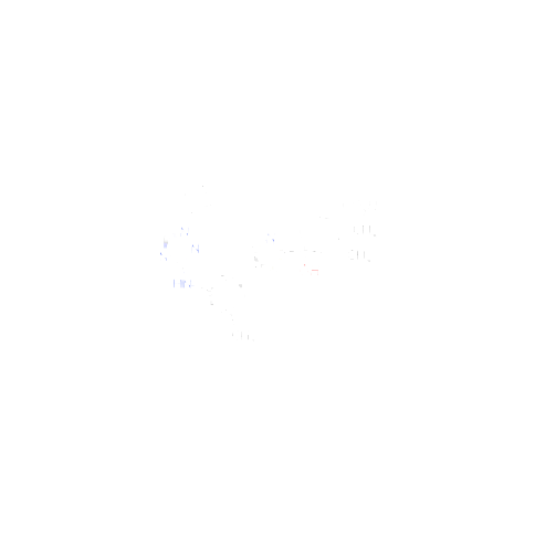 Cc1cc(Nc2ncn(C3CCC3)n2)cc(-c2cnc([C@@]3(O)CC[C@H](C(=O)O)C(C)(C)C3)s2)c1